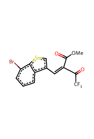 COC(=O)/C(=C\c1csc2c(Br)cccc12)C(=O)C(F)(F)F